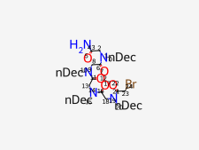 CCCCCCCCCCN(CC(N)=O)C(=O)CN(CCCCCCCCCC)C(=O)CN(CCCCCCCCCC)C(=O)CN(CCCCCCCCCC)C(=O)CBr